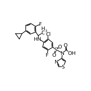 CC(Nc1cc(F)c(S(=O)(=O)N(C(=O)O)c2cscn2)cc1Cl)c1cc(C2CC2)ccc1F